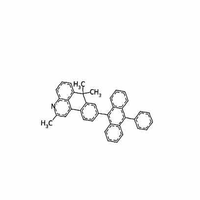 Cc1cc2c3c(cccc3n1)C(C)(C)c1cc(-c3c4ccccc4c(-c4ccccc4)c4ccccc34)ccc1-2